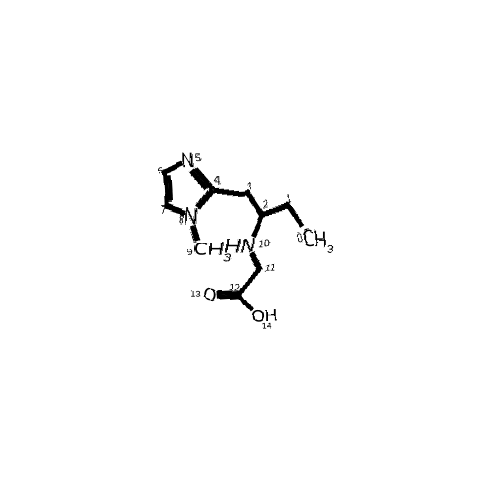 CCC(Cc1nccn1C)NCC(=O)O